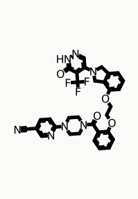 N#Cc1ccc(N2CCN(C(=O)c3ccccc3OCCOc3cccc4c3CN(c3cn[nH]c(=O)c3C(F)(F)F)C4)CC2)nc1